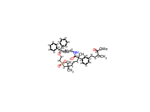 CNNC(=O)C(C)(CCCC(C)(C)CS(=O)(=O)CCO[Si](c1ccccc1)(c1ccccc1)C(C)(C)C)c1cccc(CCC(C)C(=O)OC)c1